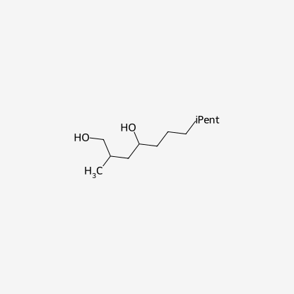 CCCC(C)CCCC(O)CC(C)CO